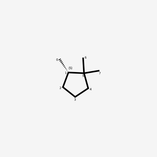 C[C@H]1CCCC1(C)C